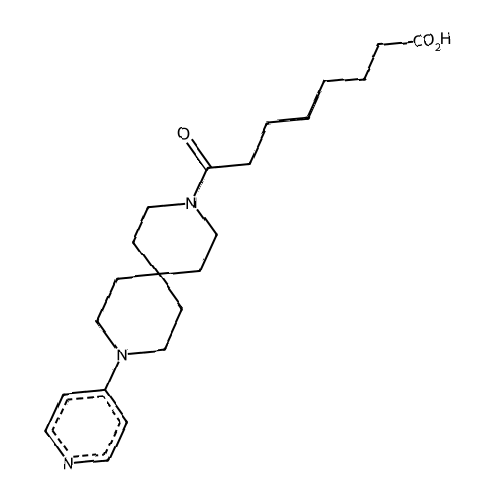 O=C(O)CCCCCCC(=O)N1CCC2(CC1)CCN(c1ccncc1)CC2